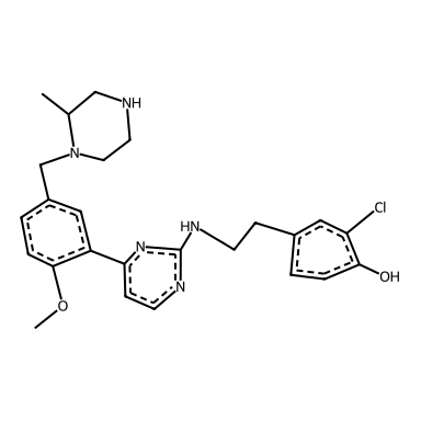 COc1ccc(CN2CCNCC2C)cc1-c1ccnc(NCCc2ccc(O)c(Cl)c2)n1